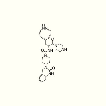 O=C(NC(Cc1cccn[nH]ccc1)C(=O)N1CCNCC1)N1CCC(N2Cc3ccccc3NC2=O)CC1